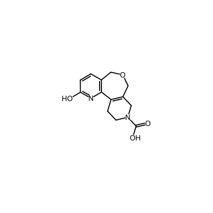 O=C(O)N1CCC2=C(COCc3ccc(O)nc32)C1